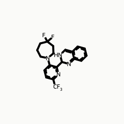 FC1(F)CCCN(c2ccc(C(F)(F)F)nc2C2N=c3ccccc3=CN2)CC1